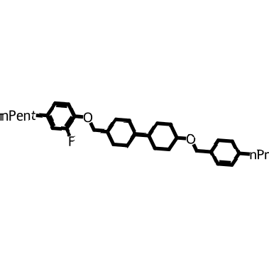 CCCCCc1ccc(OCC2CCC(C3CCC(OCC4C=CC(CCC)CC4)CC3)CC2)c(F)c1